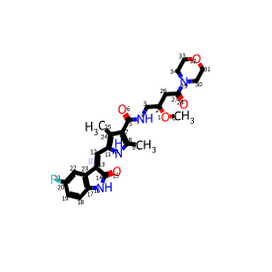 COC(CNC(=O)c1c(C)[nH]c(/C=C2\C(=O)Nc3ccc(F)cc32)c1C)CC(=O)N1CCOCC1